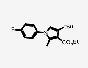 CCOC(=O)c1c(C(C)(C)C)cn(-c2ccc(F)cc2)c1C